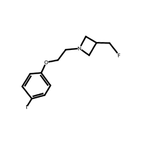 FCC1CN(CCOc2ccc(I)cc2)C1